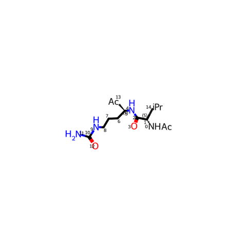 CC(=O)N[C@H](C(=O)N[C@@H](CCCNC(N)=O)C(C)=O)C(C)C